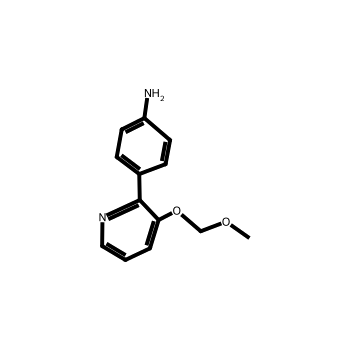 COCOc1cccnc1-c1ccc(N)cc1